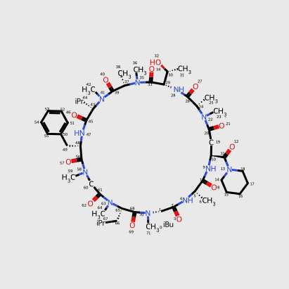 CC[C@H](C)[C@H]1C(=O)N[C@@H](C)C(=O)N[C@H](C(=O)N2CCCCC2)CC(=O)N(C)[C@@H](C)C(=O)N[C@@H]([C@@H](C)O)C(=O)N(C)[C@@H](C)C(=O)N(C)[C@@H](C(C)C)C(=O)N[C@@H](Cc2ccccc2)C(=O)N(C)CC(=O)N(C)[C@@H](CC(C)C)C(=O)N1C